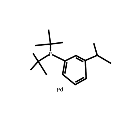 CC(C)c1cccc(P(C(C)(C)C)C(C)(C)C)c1.[Pd]